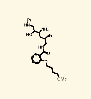 COCCCCOc1ccccc1C(=O)NCC(CC(N)C(O)CNC(C)C)C(C)C